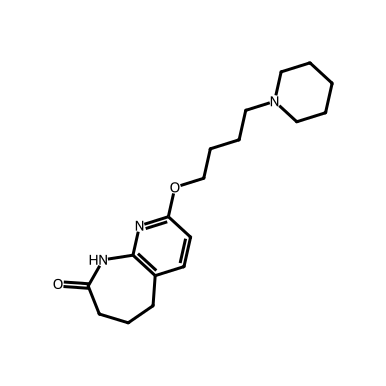 O=C1CCCc2ccc(OCCCCN3CCCCC3)nc2N1